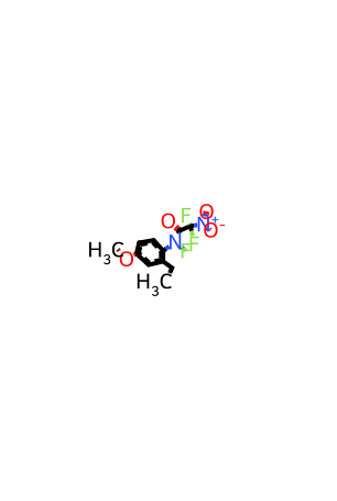 CCc1cc(OC)ccc1N(F)C(=O)C(F)(F)[N+](=O)[O-]